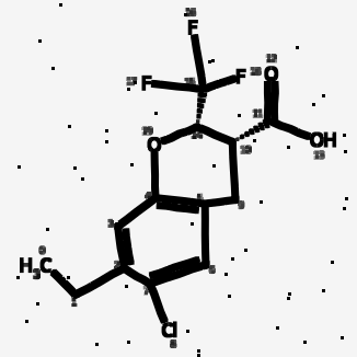 CCc1cc2c(cc1Cl)C[C@@H](C(=O)O)[C@@H](C(F)(F)F)O2